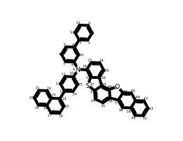 c1ccc(-c2cccc(N(c3ccc(-c4cccc5ccccc45)cc3)c3cccc4c3sc3ccc5c6cc7ccccc7cc6oc5c34)c2)cc1